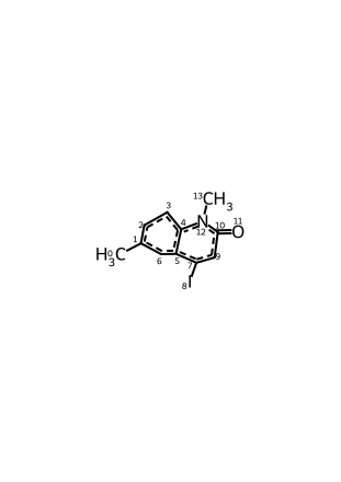 Cc1ccc2c(c1)c(I)cc(=O)n2C